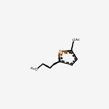 CC(=O)OCCc1ccc(OC(C)=O)s1